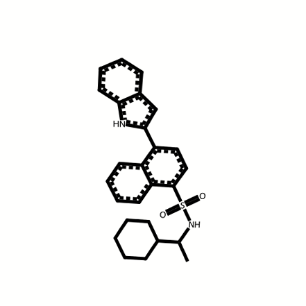 CC(NS(=O)(=O)c1ccc(-c2cc3ccccc3[nH]2)c2ccccc12)C1CCCCC1